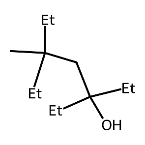 CCC(C)(CC)CC(O)(CC)CC